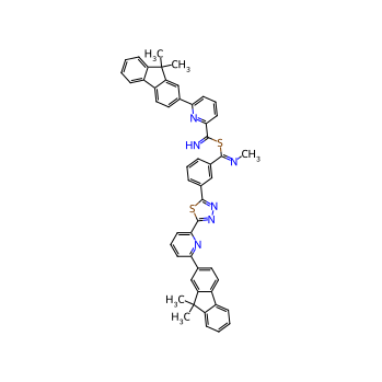 C/N=C(\SC(=N)c1cccc(-c2ccc3c(c2)C(C)(C)c2ccccc2-3)n1)c1cccc(-c2nnc(-c3cccc(-c4ccc5c(c4)C(C)(C)c4ccccc4-5)n3)s2)c1